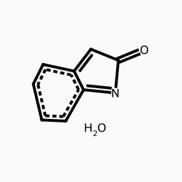 O.O=C1C=c2ccccc2=N1